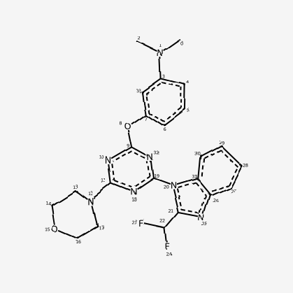 CN(C)c1cccc(Oc2nc(N3CCOCC3)nc(-n3c(C(F)F)nc4ccccc43)n2)c1